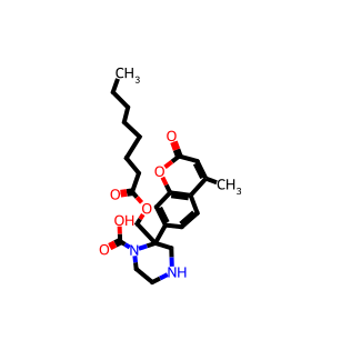 CCCCCCCC(=O)OCC1(c2ccc3c(C)cc(=O)oc3c2)CNCCN1C(=O)O